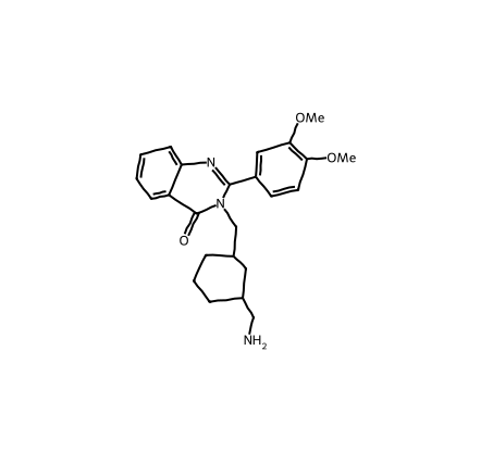 COc1ccc(-c2nc3ccccc3c(=O)n2CC2CCCC(CN)C2)cc1OC